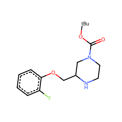 CC(C)(C)OC(=O)N1CCNC(COc2ccccc2F)C1